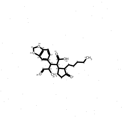 CCCCCC1C(=O)CCC1C(C(=O)O)C(c1ccc2c(c1)OCO2)C(C)C=O